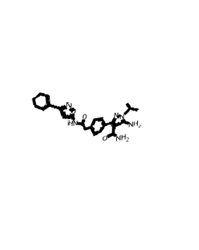 CC(C)n1nc(-c2ccc(CC(=O)Nc3cc(C4CCCCC4)no3)cc2)c(C(N)=O)c1N